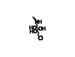 CC#CNCCC(O)C(O)C(O)CCc1ccccc1